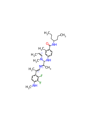 C/C=C\N(C)C(Nc1ccc(C(=O)NC(CCC)CCC)c(C)c1)/C(C)=N/C=C(\C)c1ccc(NC)c(F)c1F